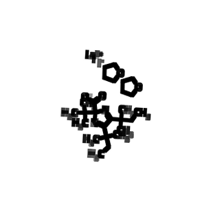 C1CCOC1.C1CCOC1.CCC(C)(C)C1=NC(C(=O)[O-])(C(C)(C)C)N=C1C(C)(C)CC.[I-].[I-].[La+3]